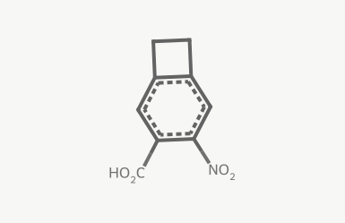 O=C(O)c1cc2c(cc1[N+](=O)[O-])CC2